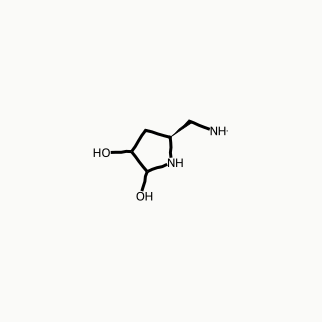 [NH]C[C@@H]1CC(O)C(O)N1